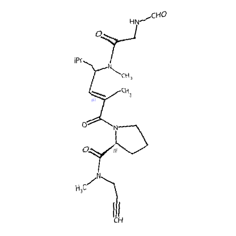 C#CCN(C)C(=O)[C@@H]1CCCN1C(=O)/C(C)=C/C(C(C)C)N(C)C(=O)CNC=O